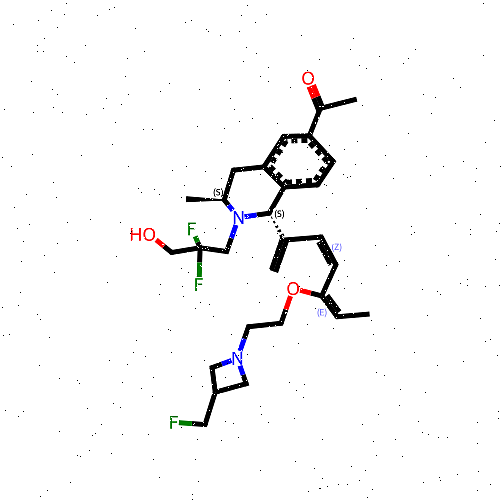 C=C(/C=C\C(=C/C)OCCN1CC(CF)C1)[C@H]1c2ccc(C(C)=O)cc2C[C@H](C)N1CC(F)(F)CO